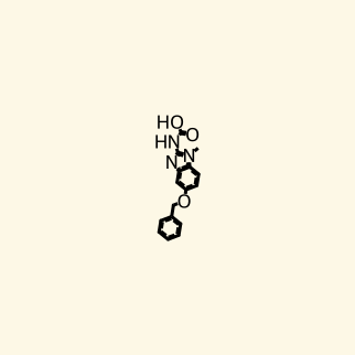 Cn1c(NC(=O)O)nc2cc(OCc3ccccc3)ccc21